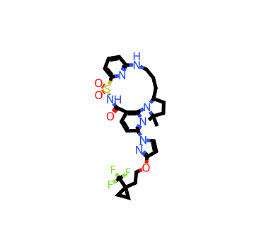 CC1(C)CCC2CCCNc3cccc(n3)S(=O)(=O)NC(=O)c3ccc(-n4ccc(OCCC5(C(F)(F)F)CC5)n4)nc3N21